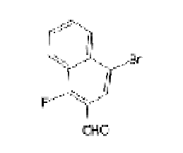 O=Cc1cc(Br)c2ccccc2c1F